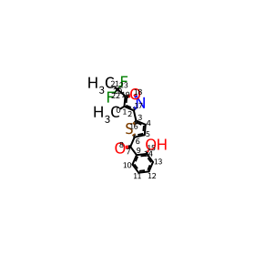 Cc1c(-c2ccc(C(=O)c3ccccc3O)s2)noc1C(C)(F)F